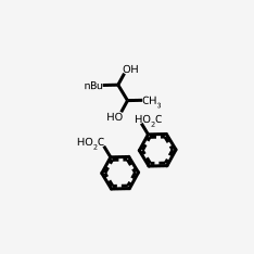 CCCCC(O)C(C)O.O=C(O)c1ccccc1.O=C(O)c1ccccc1